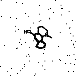 CN1CCCc2c(O)cc3ccccc3c21